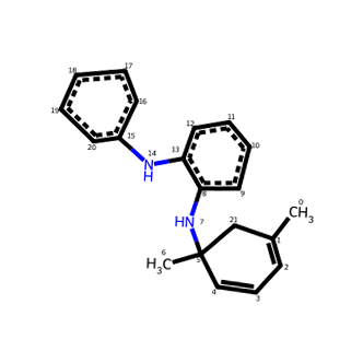 CC1=CC=CC(C)(Nc2ccccc2Nc2ccccc2)C1